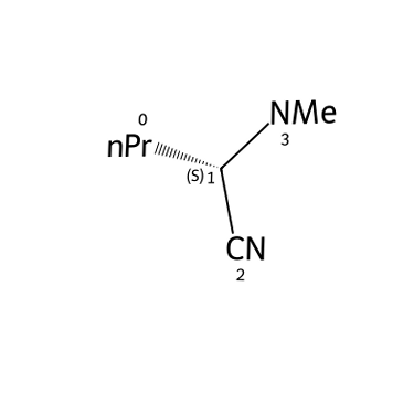 CCC[C@@H](C#N)NC